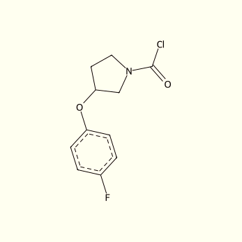 O=C(Cl)N1CCC(Oc2ccc(F)cc2)C1